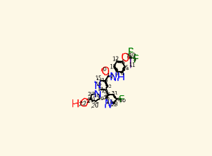 O=C(Nc1ccc(OC(F)(F)I)cc1)c1cnc(N2CC[C@@H](O)C2)c(-c2cncc(F)c2)c1